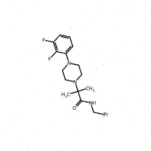 CC(C)CNC(=O)C(C)(C)N1CCN(c2cccc(F)c2F)CC1